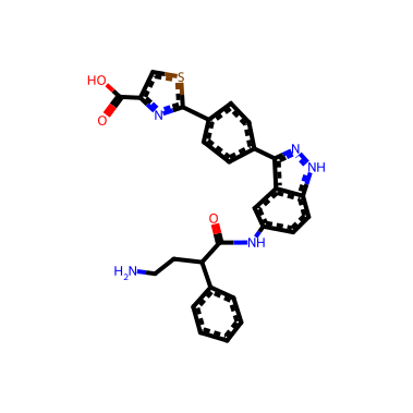 NCCC(C(=O)Nc1ccc2[nH]nc(-c3ccc(-c4nc(C(=O)O)cs4)cc3)c2c1)c1ccccc1